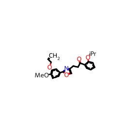 C=CCOc1cc(-c2nc(CCC(=O)c3ccccc3OC(C)C)co2)ccc1OC